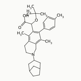 Cc1ccc(-c2c(C)c3c(c(C)c2C(OC(C)(C)C)C(=O)O)CCN(C2CC4CCC(C4)C2)C3)cc1